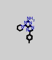 Cc1ccc(-c2cnc3nc(N)nc(N4CCCCC4)c3n2)cc1